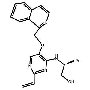 C=Cc1ncc(OCc2nccc3ccccc23)c(N[C@H](CO)CCC)n1